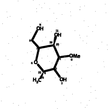 COC1C(O)[C@H](C)OC(CO)[C@H]1O